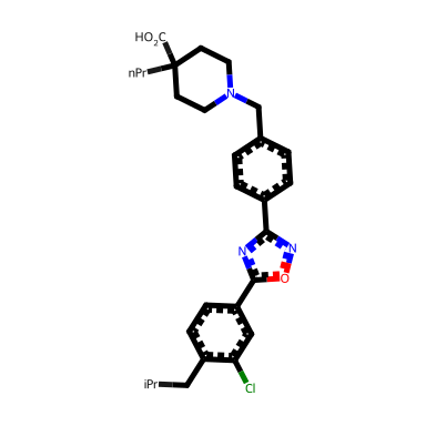 CCCC1(C(=O)O)CCN(Cc2ccc(-c3noc(-c4ccc(CC(C)C)c(Cl)c4)n3)cc2)CC1